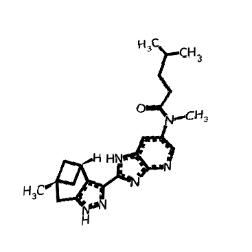 CC(C)CCC(=O)N(C)c1cnc2nc(-c3n[nH]c4c3[C@H]3C[C@@](C)(C4)C3)[nH]c2c1